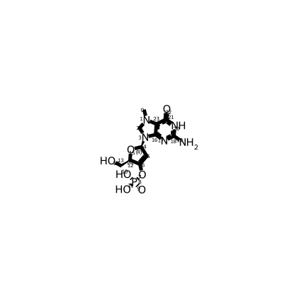 CN1CN([C@H]2C=C(OP(=O)(O)O)[C@@H](CO)O2)c2nc(N)[nH]c(=O)c21